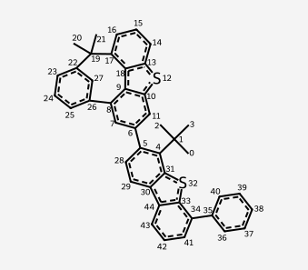 CC(C)(C)c1c(-c2cc3c4c(c2)sc2cccc(c24)C(C)(C)c2cccc-3c2)ccc2c1sc1c(-c3ccccc3)cccc12